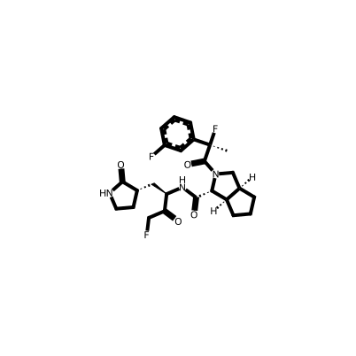 C[C@](F)(C(=O)N1C[C@H]2CCC[C@H]2[C@@H]1C(=O)N[C@H](C[C@@H]1CCNC1=O)C(=O)CF)c1cccc(F)c1